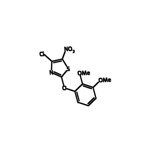 COc1cccc(Oc2nc(Cl)c([N+](=O)[O-])s2)c1OC